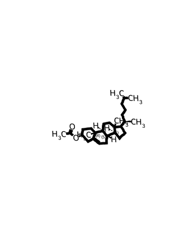 CC(=O)O[C@H]1CC[C@@]2(C)C(=CC[C@@H]3[C@@H]2CC[C@]2(C)C([C@H](C)CCCC(C)C)CC[C@@H]32)C1